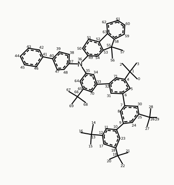 CC(C)(C)c1cc(-c2cc(-c3cc(C(C)(C)C)cc(C(C)(C)C)c3)cc(C(C)(C)C)c2)cc(-c2cc(N(c3ccc(-c4ccccc4)cc3)c3ccc4c(c3)C(C)(C)c3ccccc3-4)cc(C(C)(C)C)c2)c1